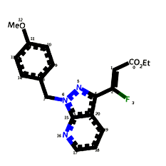 CCOC(=O)/C=C(\F)c1nn(Cc2ccc(OC)cc2)c2ncccc12